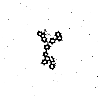 CC1(C)c2ccccc2-c2ccc(N(c3ccc(-c4ccc5c6ccccc6c6c(ccc7oc8ccccc8c76)c5c4)cc3)c3ccc(-c4cccc5ccccc45)cc3)cc21